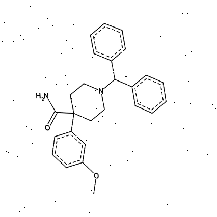 COc1cccc(C2(C(N)=O)CCN(C(c3ccccc3)c3ccccc3)CC2)c1